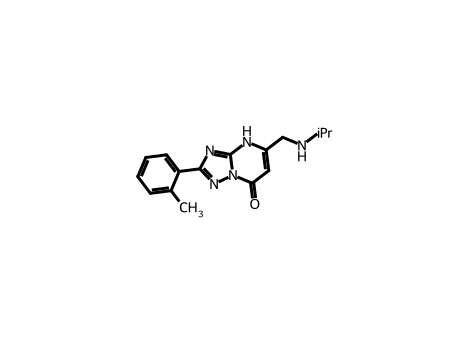 Cc1ccccc1-c1nc2[nH]c(CNC(C)C)cc(=O)n2n1